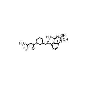 CC(C)CC(=O)N1CCCC(COc2cccc3c2C(N)=NS(O)(O)N3)C1